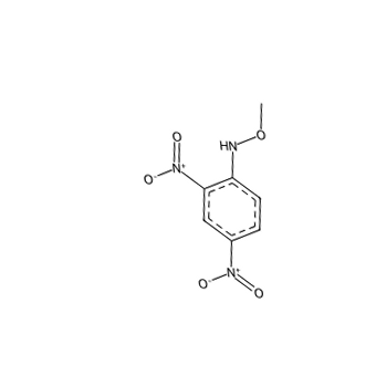 CONc1ccc([N+](=O)[O-])cc1[N+](=O)[O-]